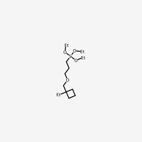 CCO[Si](CCCOCC1(CC)CCC1)(OCC)OCC